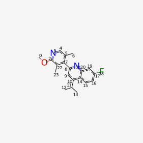 COc1ncc(C)c(-c2cc(C(C)C)c3ccc(F)cc3n2)c1C